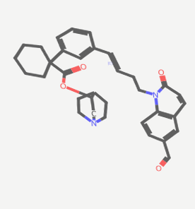 O=Cc1ccc2c(ccc(=O)n2CC/C=C/c2cccc(C3(C(=O)OC4CN5CCC4CC5)CCCCC3)c2)c1